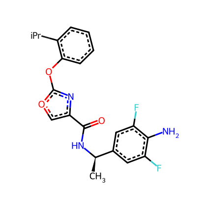 CC(C)c1ccccc1Oc1nc(C(=O)N[C@H](C)c2cc(F)c(N)c(F)c2)co1